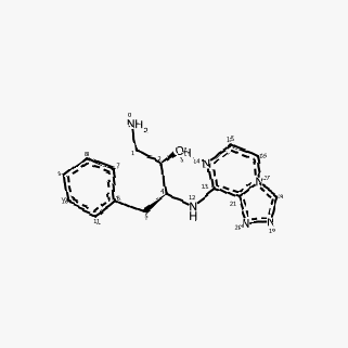 NC[C@@H](O)[C@H](Cc1ccccc1)Nc1nccn2cnnc12